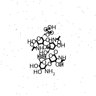 CC(=O)N[C@H]1C(O)O[C@H](COS(=O)(=O)O)[C@@H](O[C@@H]2O[C@H](CO)[C@@H](O[C@@H]3O[C@H](CO)[C@@H](O[C@@H]4O[C@H](CO)[C@@H](O)[C@H](O)[C@H]4N)C(O)[C@H]3NC(C)=O)[C@H](O)[C@H]2NC(C)=O)C1O